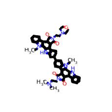 CCn1c2cc(-c3ccc4c(c3)[nH]c3c4c4c(c5c6ccccc6n(CC)c35)C(=O)N(CCN3CCOCC3)C4=O)ccc2c2c3c(c4c5ccccc5[nH]c4c21)C(=O)N(CCN(C)C)C3=O